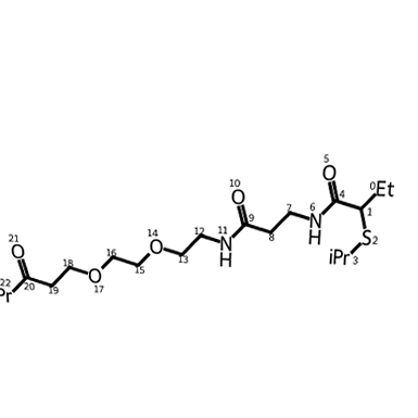 CCC(SC(C)C)C(=O)NCCC(=O)NCCOCCOCCC(=O)C(C)C